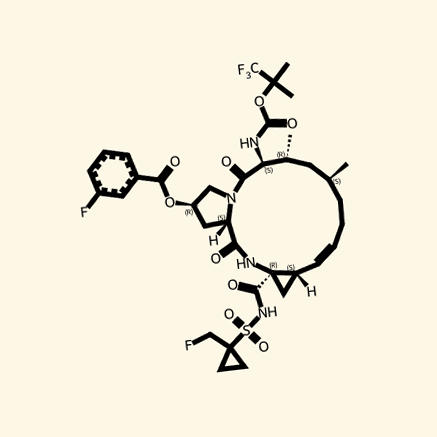 C[C@H]1CCC=C[C@@H]2C[C@@]2(C(=O)NS(=O)(=O)C2(CF)CC2)NC(=O)[C@@H]2C[C@@H](OC(=O)c3cccc(F)c3)CN2C(=O)[C@@H](NC(=O)OC(C)(C)C(F)(F)F)[C@H](C)C1